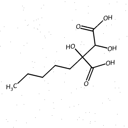 CCCCCC(O)(C(=O)O)C(O)C(=O)O